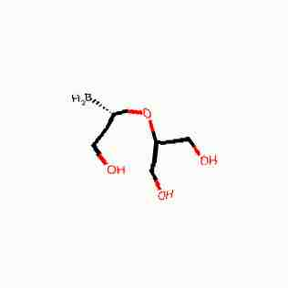 B[C@@H](CO)OC(CO)CO